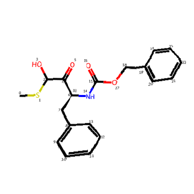 CSC(O)C(=O)[C@H](Cc1ccccc1)NC(=O)OCc1ccccc1